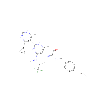 CCSc1ccc(CN/C(C=O)=N/c2c(C)nc(-c3c(C)ncnc3C3CC3)nc2N(C)[C@@H](C)C(F)(F)F)cc1